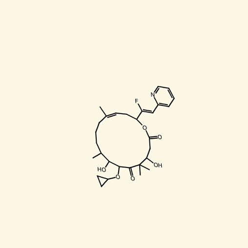 CC1=CCC(C(F)=Cc2ccccn2)OC(=O)CC(O)C(C)(C)C(=O)C(OC2CC2)C(O)C(C)CCC1